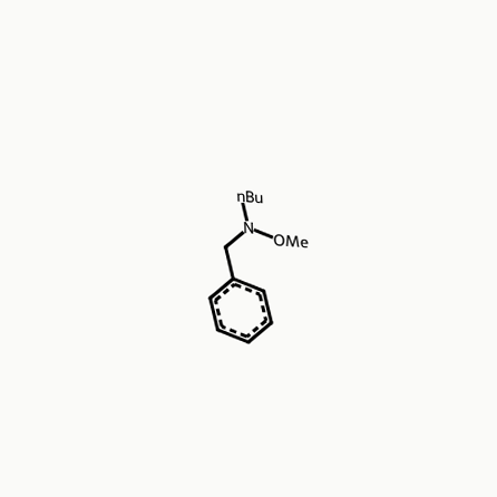 CCCCN(Cc1ccccc1)OC